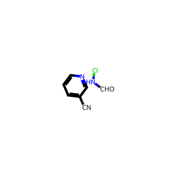 N#Cc1cccnc1.O=CNCl